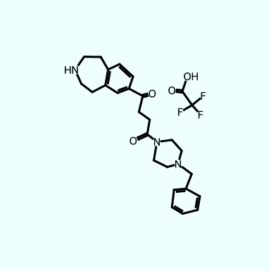 O=C(CCC(=O)N1CCN(Cc2ccccc2)CC1)c1ccc2c(c1)CCNCC2.O=C(O)C(F)(F)F